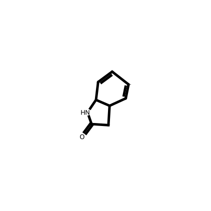 O=C1CC2C=[C]C=CC2N1